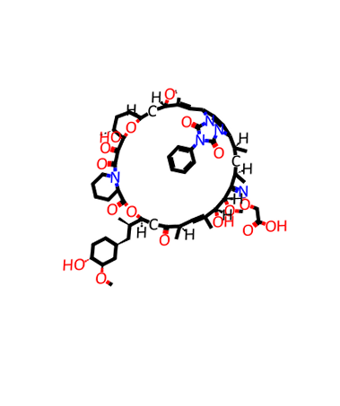 CO[C@H]1C[C@@H]2CC[C@@H](C)[C@@](O)(O2)C(=O)C(=O)N2CCCCC2C(=O)O[C@H]([C@H](C)C[C@@H]2CC[C@@H](O)[C@H](OC)C2)CC(=O)[C@H](C)/C=C(\C)[C@@H](O)[C@@H](OC)/C(=N\OCC(=O)O)[C@H](C)C[C@H](C)C2C=CC(/C=C/1C)n1c(=O)n(-c3ccccc3)c(=O)n12